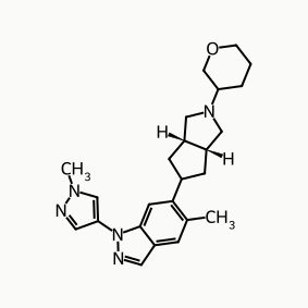 Cc1cc2cnn(-c3cnn(C)c3)c2cc1C1C[C@@H]2CN(C3CCCOC3)C[C@@H]2C1